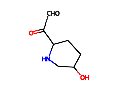 O=CC(=O)C1CCC(O)CN1